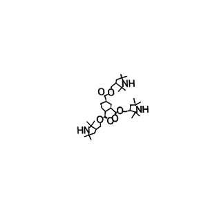 CC1(C)CC(COC(=O)C2CCC(C(=O)OCC3CC(C)(C)NC3(C)C)C(C(=O)OCC3CC(C)(C)NC3(C)C)C2)C(C)(C)N1